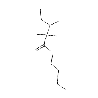 CCCCSC(=O)C(C)(C)C(C)CC